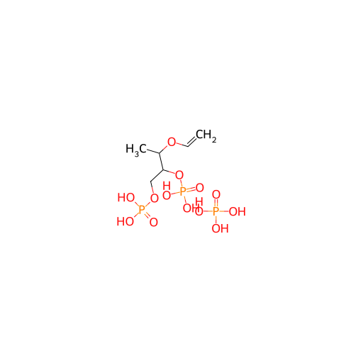 C=COC(C)C(COP(=O)(O)O)OP(=O)(O)O.O=P(O)(O)O